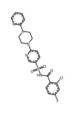 O=C(NS(=O)(=O)c1ccc(N2CCN(c3ccccn3)CC2)nc1)c1ccc(F)cc1Cl